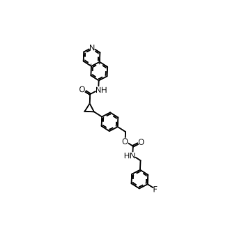 O=C(NCc1cccc(F)c1)OCc1ccc(C2CC2C(=O)Nc2ccc3cnccc3c2)cc1